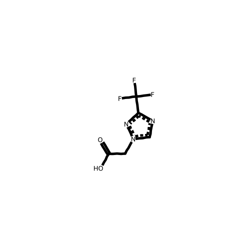 O=C(O)Cn1cnc(C(F)(F)F)n1